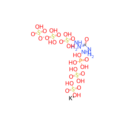 N.N.NC(N)=O.O=P(O)(O)O.O=S(=O)(O)O.O=S(=O)(O)O.O=S(=O)(O)O.O=S(=O)(O)O.O=S(=O)([O-])O.[K+]